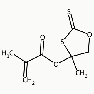 C=C(C)C(=O)OC1(C)COC(=S)S1